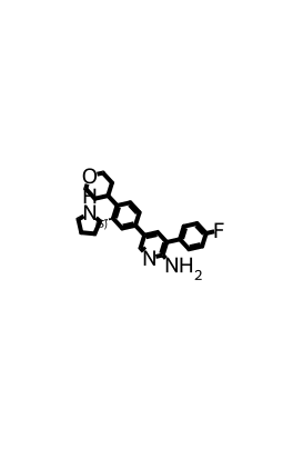 Nc1ncc(-c2ccc(C3CCOCC3)c([C@@H]3CCCN3)c2)cc1-c1ccc(F)cc1